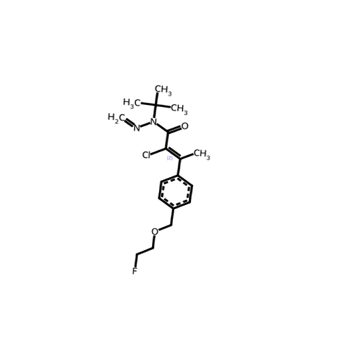 C=NN(C(=O)/C(Cl)=C(\C)c1ccc(COCCF)cc1)C(C)(C)C